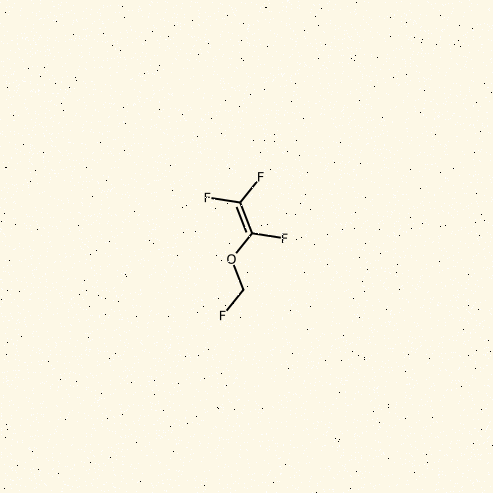 FCOC(F)=C(F)F